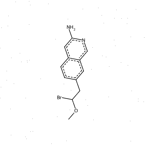 COC(Br)Cc1ccc2cc(N)ncc2c1